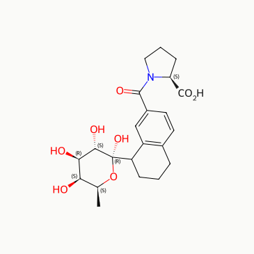 C[C@@H]1O[C@](O)(C2CCCc3ccc(C(=O)N4CCC[C@H]4C(=O)O)cc32)[C@@H](O)[C@H](O)[C@@H]1O